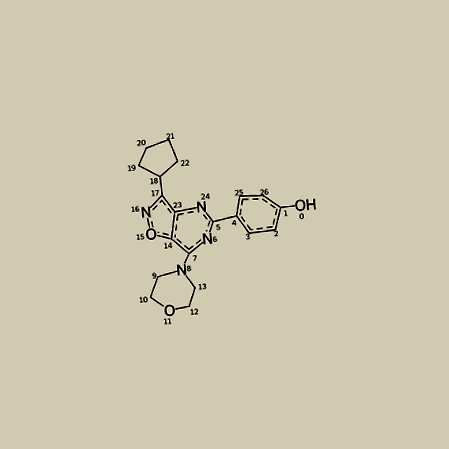 Oc1ccc(-c2nc(N3CCOCC3)c3onc(C4CCCC4)c3n2)cc1